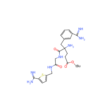 CC(C)(C)OC(=O)CCC(N)(Cc1cccc(C(=N)N)c1)C(=O)NCC(=O)NCc1ccc(C(=N)N)s1